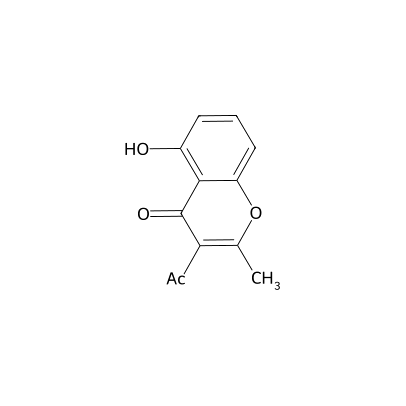 CC(=O)c1c(C)oc2cccc(O)c2c1=O